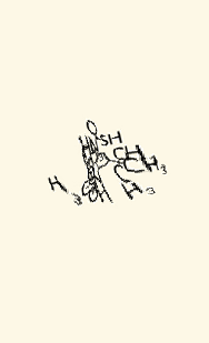 COc1c(NC(=O)S)cc(C(C)(C)C)cc1NS(C)(=O)=O